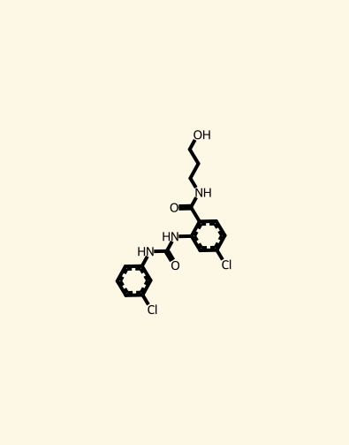 O=C(Nc1cccc(Cl)c1)Nc1cc(Cl)ccc1C(=O)NCCCO